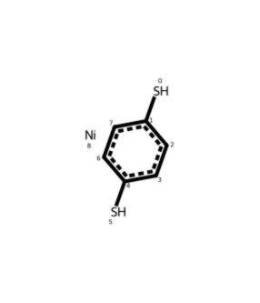 Sc1ccc(S)cc1.[Ni]